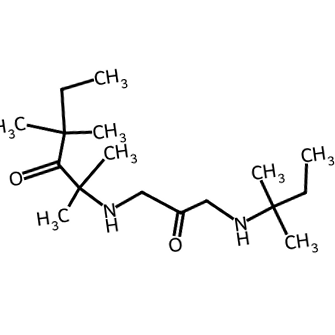 CCC(C)(C)NCC(=O)CNC(C)(C)C(=O)C(C)(C)CC